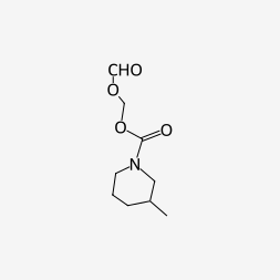 CC1CCCN(C(=O)OCOC=O)C1